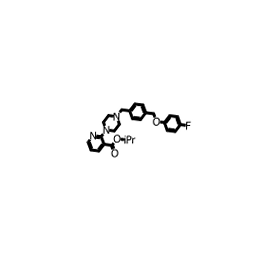 CC(C)OC(=O)c1cccnc1N1CCN(Cc2ccc(COc3ccc(F)cc3)cc2)CC1